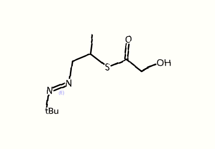 CC(C/N=N/C(C)(C)C)SC(=O)CO